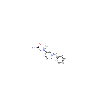 CC(=O)N(CC(N)=O)C1=[C]N(Cc2ccccc2)CC=C1